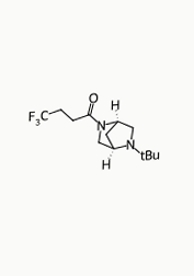 CC(C)(C)N1C[C@H]2C[C@@H]1CN2C(=O)CCC(F)(F)F